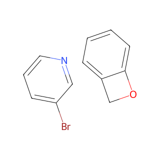 Brc1cccnc1.c1ccc2c(c1)CO2